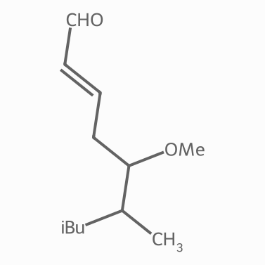 CCC(C)C(C)C(CC=CC=O)OC